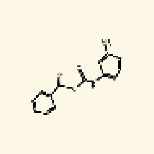 Nc1cccc(NC(=O)OC(=O)c2ccccc2)c1